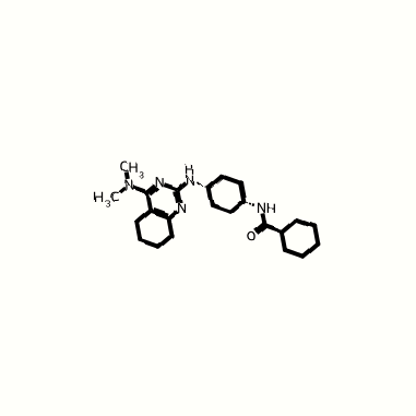 CN(C)c1nc(N[C@H]2CC[C@@H](NC(=O)C3CCCCC3)CC2)nc2c1CCCC2